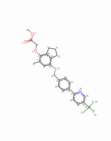 COC(=O)COc1c(C)cc(SCc2ccc(-c3ccc(C(F)(F)F)cn3)cc2)c2c1CCC2